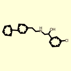 OC(CNCCc1ccc(-c2ccccc2)cc1)c1cccc(Cl)c1